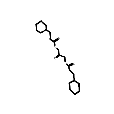 O=C(COC(=O)CCC1CCCCC1)COC(=O)CCC1CCCCC1